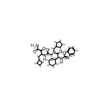 NC(=O)C(=O)C(CC1CCC1)NC(=O)CN(CC1CCCC1)C(=O)[C@@H](Nc1nc2ccccc2o1)C1CCCCC1